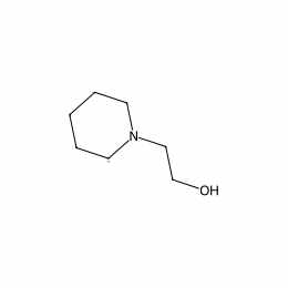 OCCN1[CH]CCCC1